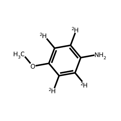 [2H]c1c([2H])c(OC)c([2H])c([2H])c1N